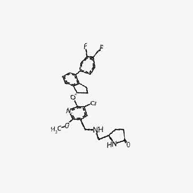 COc1nc(O[C@H]2CCc3c(-c4ccc(F)c(F)c4)cccc32)c(Cl)cc1CNCC1CCC(=O)N1